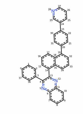 c1ccc(-c2nc3ccccc3nc2-c2cccc3c(-c4ccc(-c5cccnc5)cc4)cccc23)cc1